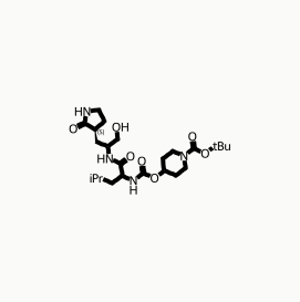 CC(C)CC(NC(=O)OC1CCN(C(=O)OC(C)(C)C)CC1)C(=O)NC(CO)C[C@@H]1CCNC1=O